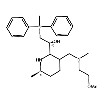 COCCN(C)CC1CC[C@@H](C)NC1[C@H](O)C[Si](C)(c1ccccc1)c1ccccc1